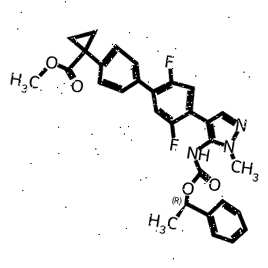 COC(=O)C1(c2ccc(-c3cc(F)c(-c4cnn(C)c4NC(=O)O[C@H](C)c4ccccc4)cc3F)cc2)CC1